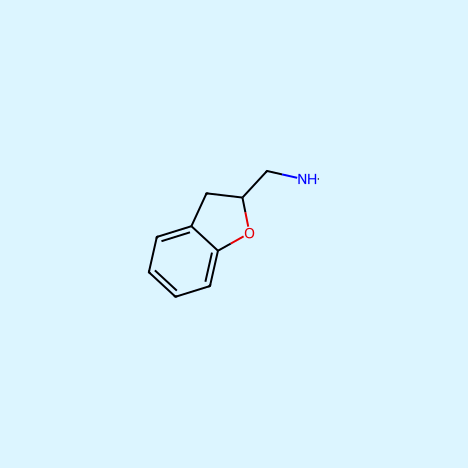 [NH]CC1Cc2ccccc2O1